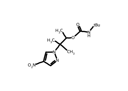 CC(OC(=O)NC(C)(C)C)C(C)(C)n1cc([N+](=O)[O-])cn1